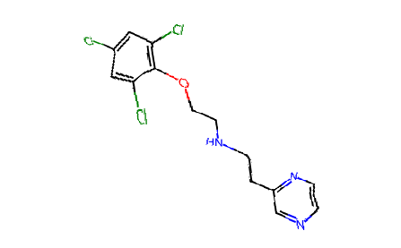 Clc1cc(Cl)c(OCCNCCc2cnccn2)c(Cl)c1